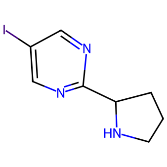 Ic1cnc(C2CCCN2)nc1